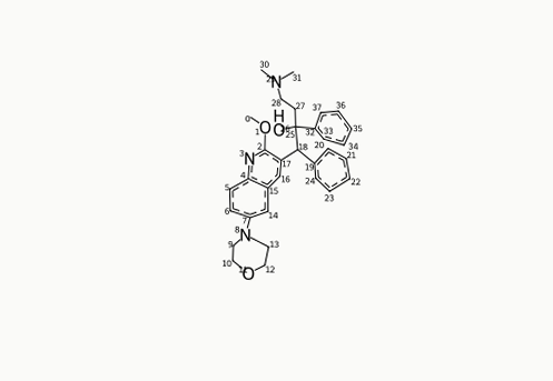 COc1nc2ccc(N3CCOCC3)cc2cc1C(c1ccccc1)C(O)(CCN(C)C)c1ccccc1